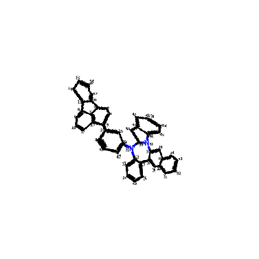 c1cc(-c2ccc3c4c(cccc24)-c2ccccc2-3)cc(N2c3ccccc3-c3cc4ccccc4cc3-n3c2cc2ccccc23)c1